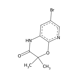 CC1(C)Oc2ncc(Br)cc2NC1=O